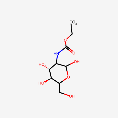 O=C(NC1C(O)OC(CO)[C@@H](O)[C@@H]1O)OCC(Cl)(Cl)Cl